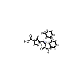 Cc1c(C(=O)O)c[nH]c1/C=C1\C(=O)Nc2cccc(-c3cccc(F)c3)c21